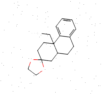 O=CCC12CCC3(CC1CCc1ccccc12)OCCO3